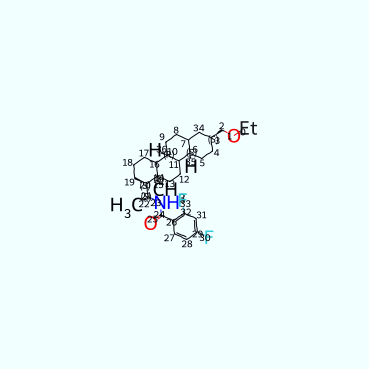 CCOC[C@H]1CC[C@H]2C(CC[C@@H]3C2CC[C@@]2(C)C3CCC[C@@H]2[C@H](C)NC(=O)c2ccc(F)cc2F)C1